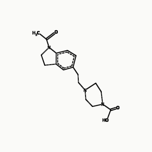 CC(=O)N1CCc2cc(CCN3CCN(C(=O)O)CC3)ccc21